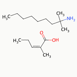 CCC=C(C)C(=O)O.CCCCCCCC(C)(C)N